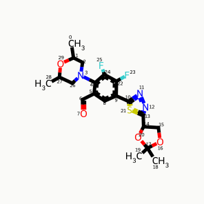 CC1CN(c2c(C=O)cc(-c3nnc(C4COC(C)(C)O4)s3)c(F)c2F)CC(C)O1